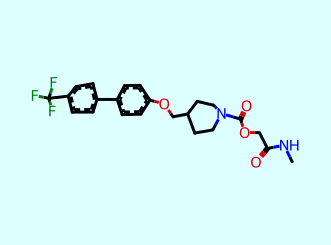 CNC(=O)COC(=O)N1CCC(COc2ccc(-c3ccc(C(F)(F)F)cc3)cc2)CC1